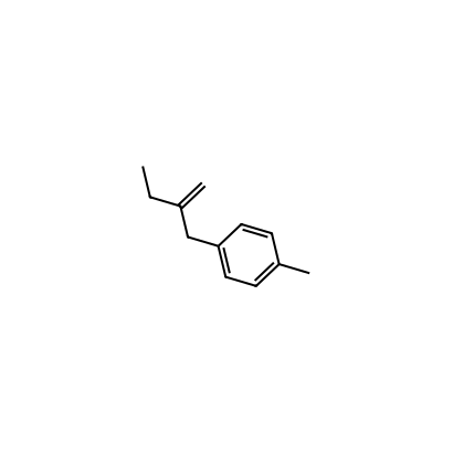 C=C(CC)Cc1ccc(C)cc1